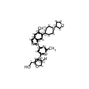 Cc1nc(N2C[C@]3(CO)C[C@H]2CO3)cc(-n2ncc3cc(C)c(C4CCN(C5CCOC5)CC4)cc32)n1